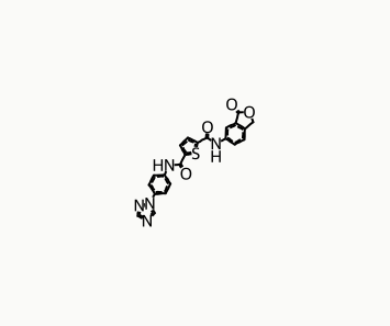 O=C(Nc1ccc(-n2cncn2)cc1)c1ccc(C(=O)Nc2ccc3c(c2)C(=O)OC3)s1